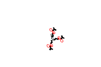 C=C(C)C(=O)OCCC[SiH](CCCOC(=O)C(=C)C)CCCOC(=O)C(=C)C